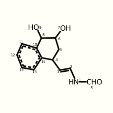 O=CNC=CC1CC(O)C(O)c2ccccc21